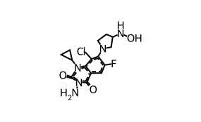 Nn1c(=O)c2cc(F)c(N3CCC(NO)C3)c(Cl)c2n(C2CC2)c1=O